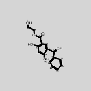 CCC(SCCO)c1cc(C(=O)c2ccccc2)c(O)cc1O